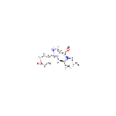 CCn1c(C)cn2c(C3CCOCC3)ncc2c1=O